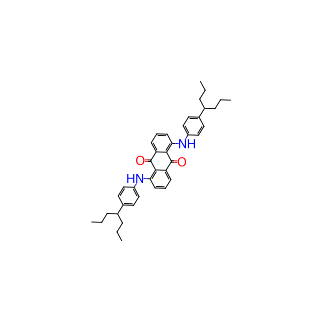 CCCC(CCC)c1ccc(Nc2cccc3c2C(=O)c2cccc(Nc4ccc(C(CCC)CCC)cc4)c2C3=O)cc1